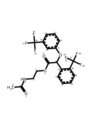 CC(=O)NCCOC(=O)C(Oc1cccc(C(F)(F)F)c1)c1ccccc1C(F)(F)F